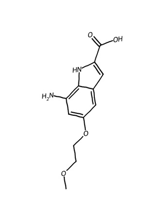 COCCOc1cc(N)c2[nH]c(C(=O)O)cc2c1